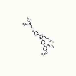 CCCCc1nc(-c2ccc(OCCCN(CC)CC)cc2)nn1-c1ccc(-c2ccc(OC)cc2OC)cc1